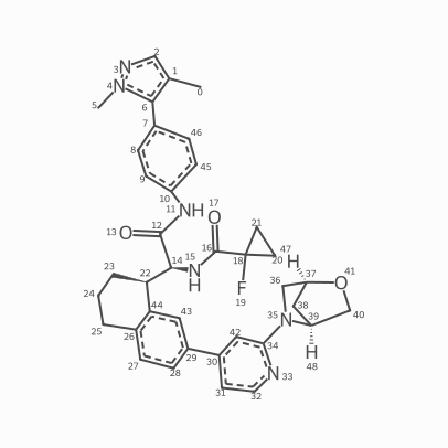 Cc1cnn(C)c1-c1ccc(NC(=O)[C@@H](NC(=O)C2(F)CC2)[C@@H]2CCCc3ccc(-c4ccnc(N5C[C@@H]6C[C@H]5CO6)c4)cc32)cc1